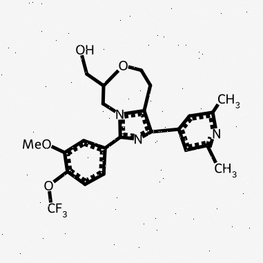 COc1cc(-c2nc(-c3cc(C)nc(C)c3)c3n2CC(CO)OCC3)ccc1OC(F)(F)F